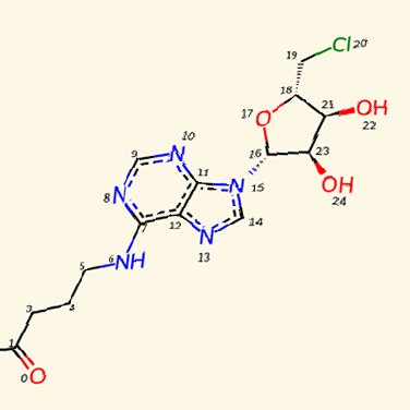 O=C(O)CCCNc1ncnc2c1ncn2[C@@H]1O[C@H](CCl)[C@@H](O)[C@H]1O